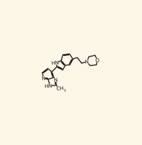 Cc1nc2c(-c3cc4cc(CCN5CCOCC5)ccc4[nH]3)ccnc2[nH]1